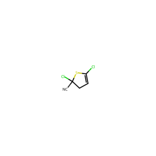 N#CC1(Cl)CC=C(Cl)S1